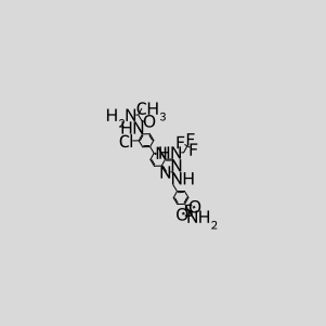 CC(N)C(=O)Nc1ccc(-c2ccc3nc(NCc4ccc(S(N)(=O)=O)cc4)nc(NCC(F)(F)F)c3n2)cc1Cl